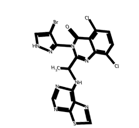 CC(Nc1ncnc2scnc12)c1nc2c(Cl)ccc(Cl)c2c(=O)n1-c1n[nH]cc1Br